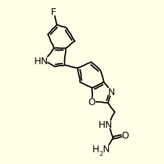 NC(=O)NCc1nc2ccc(-c3c[nH]c4cc(F)ccc34)cc2o1